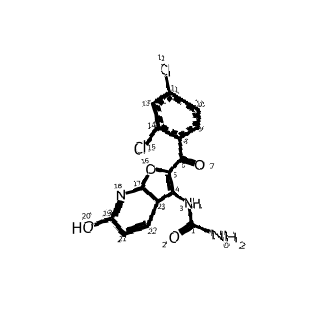 NC(=O)NC1=C(C(=O)c2ccc(Cl)cc2Cl)OC2N=C(O)C=CC12